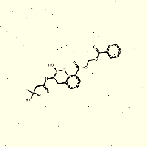 CC(F)(F)CC(=O)NC1Cc2cccc(C(=O)OCOC(=O)c3ccccc3)c2OB1O